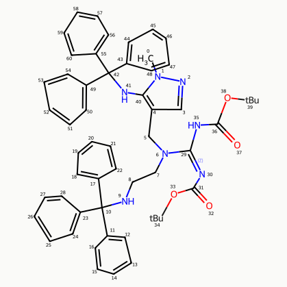 Cn1ncc(CN(CCNC(c2ccccc2)(c2ccccc2)c2ccccc2)/C(=N\C(=O)OC(C)(C)C)NC(=O)OC(C)(C)C)c1NC(c1ccccc1)(c1ccccc1)c1ccccc1